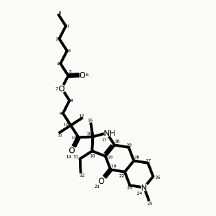 CCCCCC(=O)OCCC(C)(C)C(=O)C1(C)NC2=C(C(=O)C3CN(C)CCC3C2)C1CC